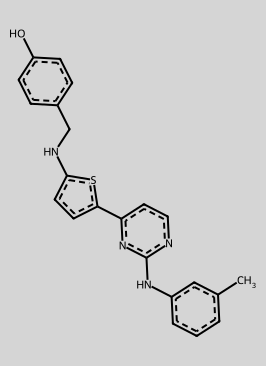 Cc1cccc(Nc2nccc(-c3ccc(NCc4ccc(O)cc4)s3)n2)c1